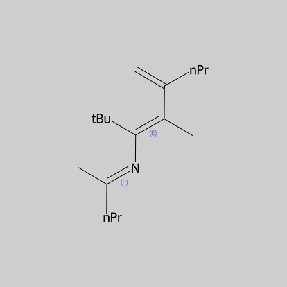 C=C(CCC)/C(C)=C(/N=C(\C)CCC)C(C)(C)C